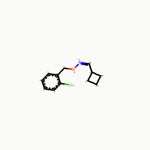 Clc1ccccc1CO/N=[C]\C1CCC1